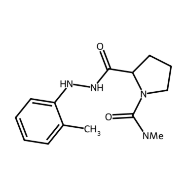 CNC(=O)N1CCCC1C(=O)NNc1ccccc1C